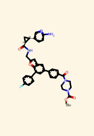 CC(C)(C)OC(=O)N1CCN(C(=O)c2ccc(-c3cc(-c4ccc(F)cc4)c4oc(CNC(=O)[C@H]5C[C@@H]5c5ccc(N)nc5)cc4c3)cc2)CC1